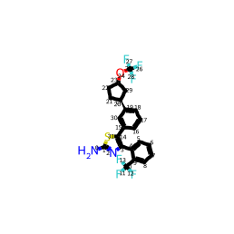 Nc1nc(-c2ccccc2C(F)(F)F)c(-c2cccc([C@H]3CCC(OC(F)(F)F)C3)c2)s1